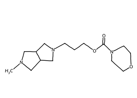 CN1CC2CN(CCCOC(=O)N3CCOCC3)CC2C1